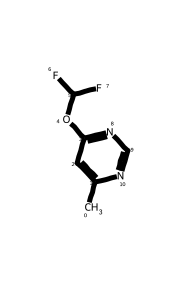 Cc1cc(OC(F)F)ncn1